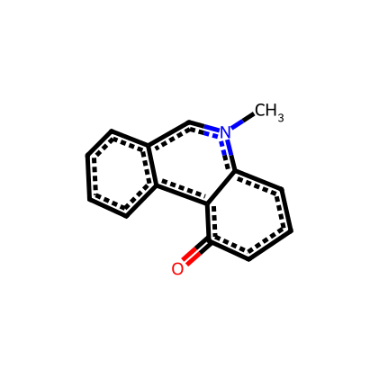 Cn1cc2ccccc2c2c(=O)cccc1-2